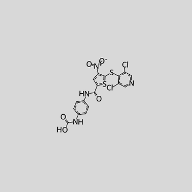 O=C(O)Nc1ccc(NC(=O)c2cc([N+](=O)[O-])c(Sc3c(Cl)cncc3Cl)s2)cc1